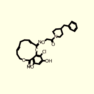 O=C1OCC/C=C/CC/C=C/C(=N/OCC(=O)N2CCC(Cc3ccccc3)CC2)Cc2c(Cl)c(O)cc(O)c21